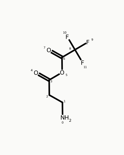 NCCC(=O)OC(=O)C(F)(F)F